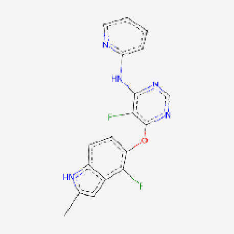 Cc1cc2c(F)c(Oc3ncnc(Nc4ccccn4)c3F)ccc2[nH]1